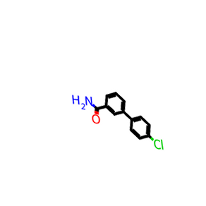 NC(=O)c1cccc(-c2ccc(Cl)cc2)c1